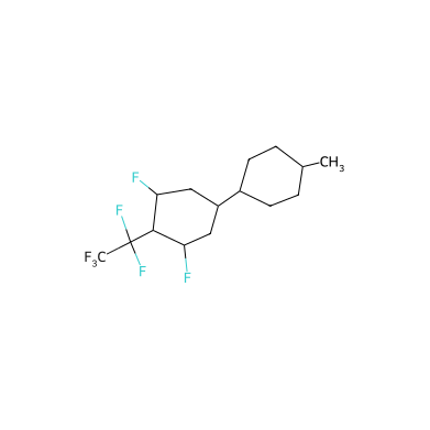 CC1CCC(C2CC(F)C(C(F)(F)C(F)(F)F)C(F)C2)CC1